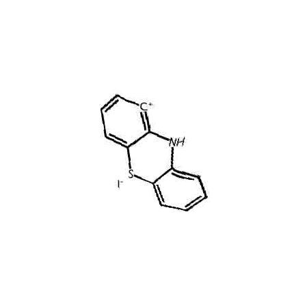 [C+]1=C2Nc3ccccc3SC2=CC=C1.[I-]